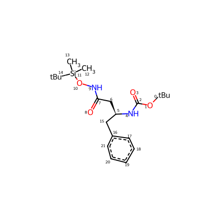 CC(C)(C)OC(=O)N[C@H](CC(=O)NO[Si](C)(C)C(C)(C)C)Cc1ccccc1